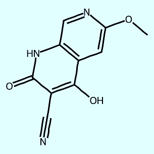 COc1cc2c(O)c(C#N)c(=O)[nH]c2cn1